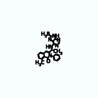 Bc1nc2c(N[C@@H](C)c3cc4cccc(C)c4c(=O)n3-c3ccccc3)ncnc2[nH]1